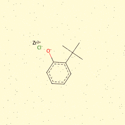 CC(C)(C)c1ccccc1[O-].[Cl-].[Zr+2]